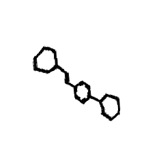 C(=CC1CCCCC1)c1ccc(C2CCCCC2)cc1